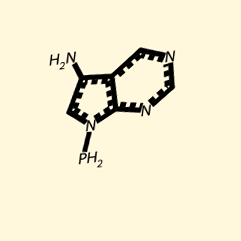 Nc1cn(P)c2ncncc12